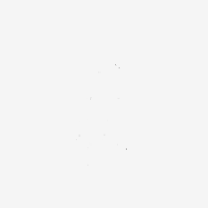 O=C(c1ccc(F)c(Cl)c1)C1CCCN(C(=O)O)C1